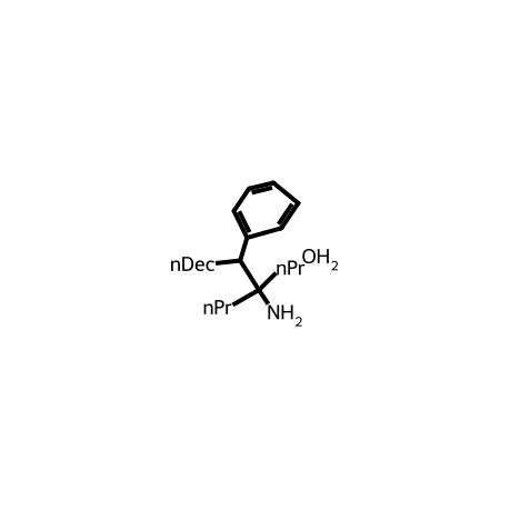 CCCCCCCCCCC(c1ccccc1)C(N)(CCC)CCC.O